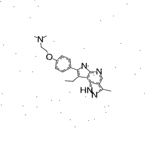 CCC1=C(c2ccc(OCCN(C)C)cc2)[N]c2ncc3c(C)n[nH]c3c21